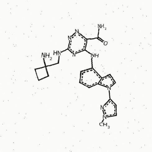 Cn1ccc(-n2ccc3c(Nc4nc(NCC5(N)CCC5)nnc4C(N)=O)cccc32)n1